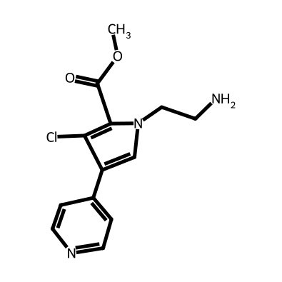 COC(=O)c1c(Cl)c(-c2ccncc2)cn1CCN